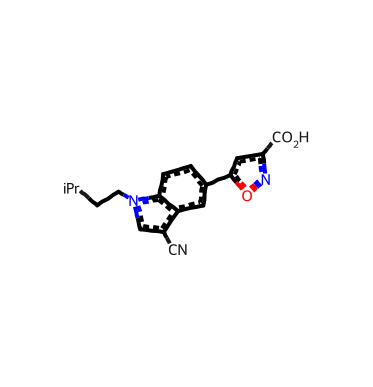 CC(C)CCn1cc(C#N)c2cc(-c3cc(C(=O)O)no3)ccc21